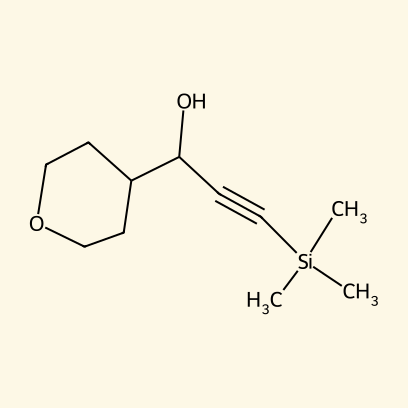 C[Si](C)(C)C#CC(O)C1CCOCC1